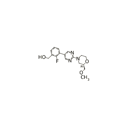 COC[C@H]1CN(c2ncc(-c3cccc(CO)c3F)cn2)CCO1